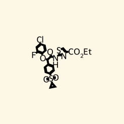 CCOC(=O)c1csc(NC(=O)C(Oc2ccc(Cl)cc2F)c2ccc(S(=O)(=O)C3CC3)cc2)n1